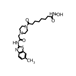 Cc1ccc2nc(NC(=O)CN3CCN(C(=O)CCCCCCC(=O)NO)CC3)sc2c1